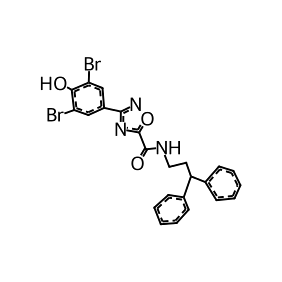 O=C(NCCC(c1ccccc1)c1ccccc1)c1nc(-c2cc(Br)c(O)c(Br)c2)no1